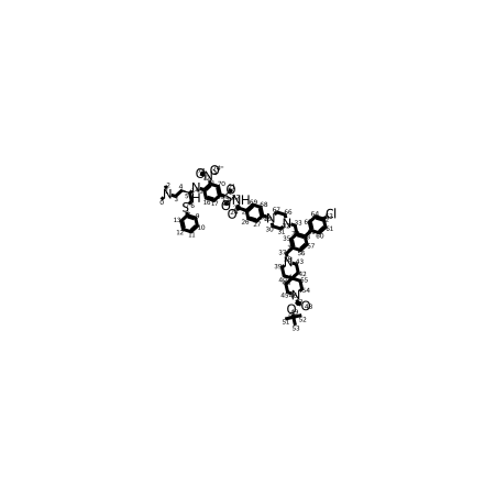 CN(C)CC[C@H](CSc1ccccc1)Nc1ccc(S(=O)(=O)NC(=O)c2ccc(N3CCN(Cc4cc(CN5CCC6(CC5)CCN(C(=O)OC(C)(C)C)CC6)ccc4-c4ccc(Cl)cc4)CC3)cc2)cc1[N+](=O)[O-]